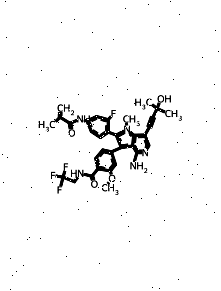 C=C(C)C(=O)Nc1ccc(-c2c(-c3ccc(C(=O)NCC(F)(F)F)c(OC)c3)c3c(N)ncc(C#CC(C)(C)O)c3n2C)c(F)c1